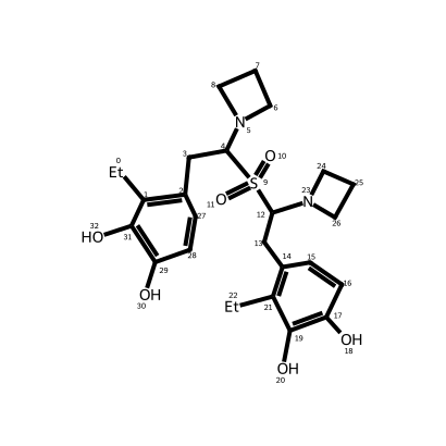 CCc1c(CC(N2CCC2)S(=O)(=O)C(Cc2ccc(O)c(O)c2CC)N2CCC2)ccc(O)c1O